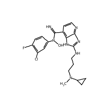 CN(CCCNc1nc2nccc(C(=N)N(O)c3ccc(F)c(Cl)c3)c2[nH]1)C1CC1